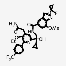 CCOc1c(CC(N)=O)cc([C@@](O)(CNC(=O)c2cc(OC)c3nn(C4(F)CC4)cc3c2)C2CC2)nc1-c1ccc(C(F)(F)F)cc1